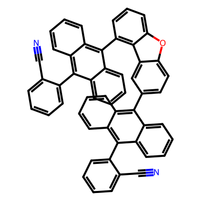 N#Cc1ccccc1-c1c2ccccc2c(-c2ccc3oc4cccc(-c5c6ccccc6c(-c6ccccc6C#N)c6ccccc56)c4c3c2)c2ccccc12